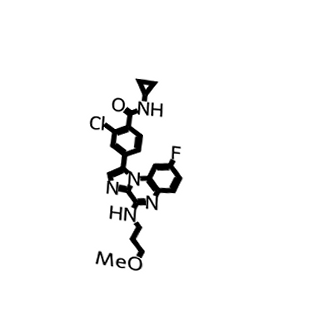 COCCCNc1nc2ccc(F)cc2n2c(-c3ccc(C(=O)NC4CC4)c(Cl)c3)cnc12